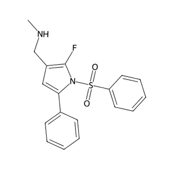 CNCc1cc(-c2ccccc2)n(S(=O)(=O)c2ccccc2)c1F